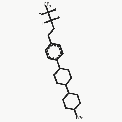 CCCC1CCC(C2CCC(c3ccc(CCC(F)(F)C(F)(F)C(F)(F)F)cc3)CC2)CC1